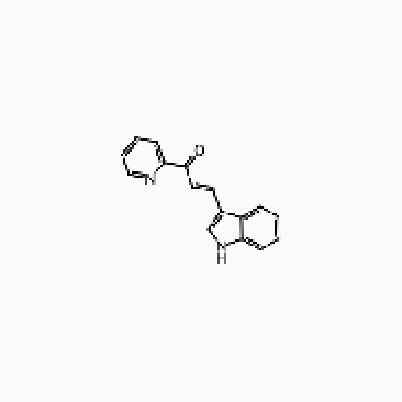 O=C(C=Cc1c[nH]c2ccccc12)c1ccccn1